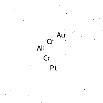 [Al].[Au].[Cr].[Cr].[Pt]